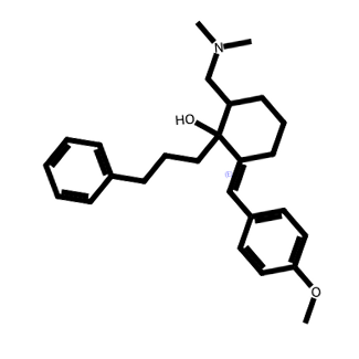 COc1ccc(/C=C2\CCCC(CN(C)C)C2(O)CCCc2ccccc2)cc1